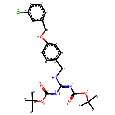 CC(C)(C)OC(=O)N=C(NCc1ccc(OCc2cccc(Cl)c2)cc1)NC(=O)OC(C)(C)C